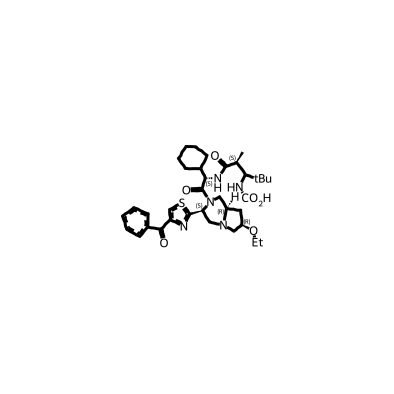 CCO[C@@H]1C[C@@H]2CN(C(=O)[C@@H](NC(=O)[C@@H](C)C(NC(=O)O)C(C)(C)C)C3CCCCC3)[C@H](c3nc(C(=O)c4ccccc4)cs3)CN2C1